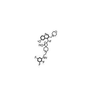 COc1ccc2ncc(CN3CCOCC3)c([C@@H](F)CCC3(C(=O)O)CCN(CCNc4cc(F)cc(F)c4F)CC3)c2c1